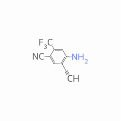 C#Cc1cc(C#N)c(C(F)(F)F)cc1N